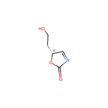 O=C1N=C[C@@H](CCO)O1